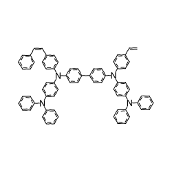 C=Cc1ccc(N(c2ccc(-c3ccc(N(c4ccc(/C=C\c5ccccc5)cc4)c4ccc(N(c5ccccc5)c5ccccc5)cc4)cc3)cc2)c2ccc(N(c3ccccc3)c3ccccc3)cc2)cc1